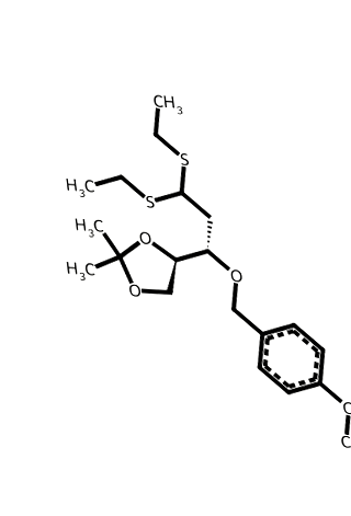 CCSC(C[C@H](OCc1ccc(OC)cc1)[C@H]1COC(C)(C)O1)SCC